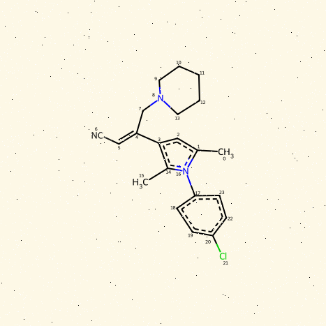 Cc1cc(/C(=C/C#N)CN2CCCCC2)c(C)n1-c1ccc(Cl)cc1